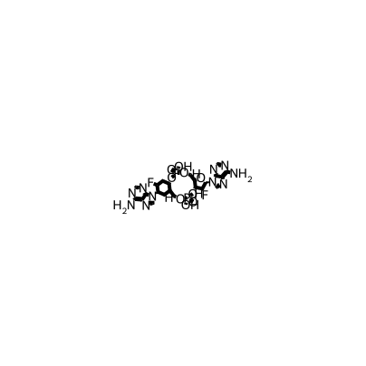 Nc1ncnc2c1ncn2[C@@H]1C[C@@H]2COP(=O)(O)O[C@@H]3[C@H](F)[C@H](n4cnc5c(N)ncnc54)O[C@@H]3COP(=O)(O)OC2CC1F